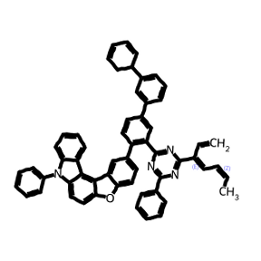 C=C/C(=C\C=C/C)c1nc(-c2ccccc2)nc(-c2cc(-c3cccc(C4C=CC=CC4)c3)ccc2-c2ccc3oc4ccc5c(c6ccccc6n5-c5ccccc5)c4c3c2)n1